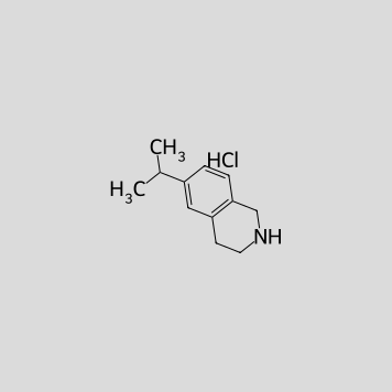 CC(C)c1ccc2c(c1)CCNC2.Cl